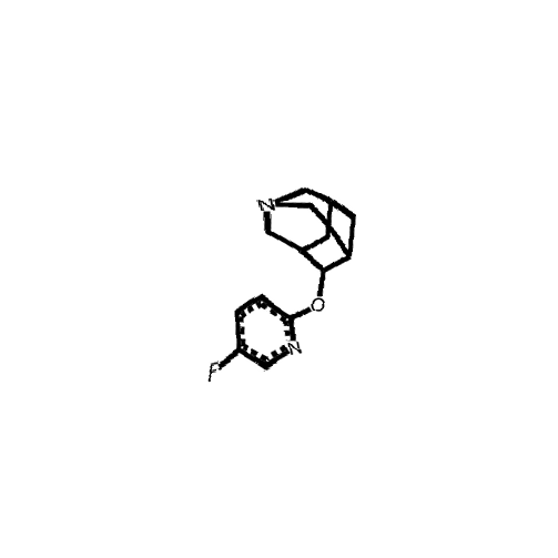 Fc1ccc(OC2C3CC4CC2CN(C4)C3)nc1